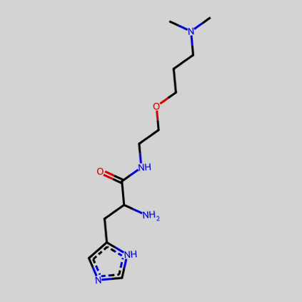 CN(C)CCCOCCNC(=O)C(N)Cc1cnc[nH]1